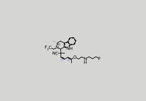 C/C(=C\C=C/C(C)(C#N)C1c2[nH]c3ccccc3c2C[C@@H](C)N1CC(F)(F)F)OCCNCCCF